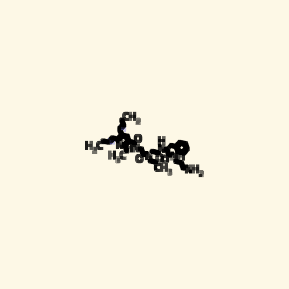 C=C/C=C/c1cc(C(=O)NCC(=O)N(CCC)CC(=O)N[C@@H](Cc2ccccc2)C(=O)NCCCN)c(CC)nc1/C=C/C=C